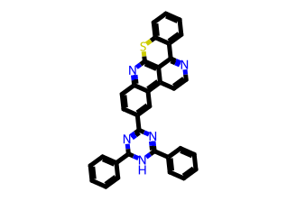 c1ccc(C2=NC(c3ccc4nc5c6c(nccc6c4c3)-c3ccccc3S5)=NC(c3ccccc3)N2)cc1